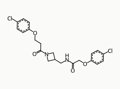 O=C(COc1ccc(Cl)cc1)NCC1CN(C(=O)CCOc2ccc(Cl)cc2)C1